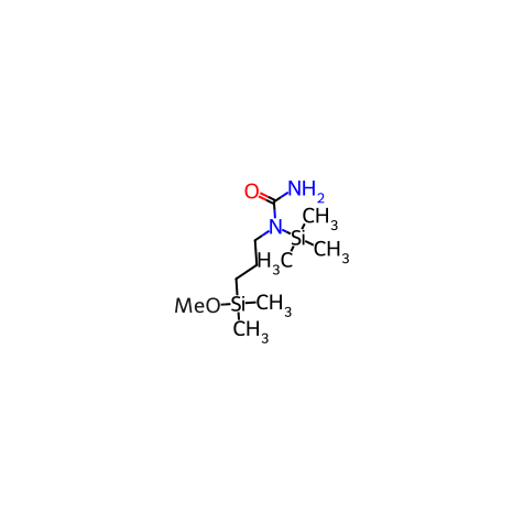 CO[Si](C)(C)CCCN(C(N)=O)[Si](C)(C)C